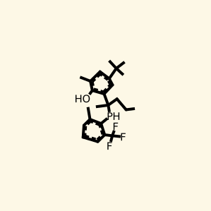 CCCC(C)(Pc1c(C)cccc1C(F)(F)F)c1cc(C(C)(C)C)cc(C)c1O